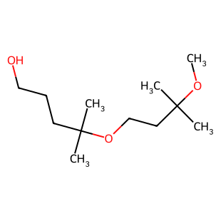 COC(C)(C)CCOC(C)(C)CCCO